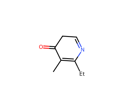 CCC1=C(C)C(=O)CC=N1